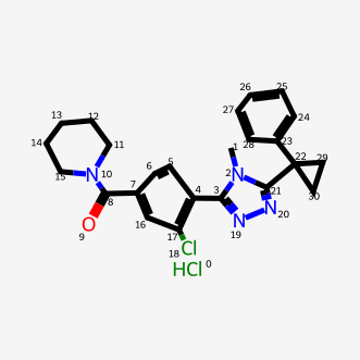 Cl.Cn1c(-c2ccc(C(=O)N3CCCCC3)cc2Cl)nnc1C1(c2ccccc2)CC1